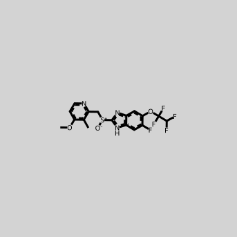 COc1ccnc(C[S+]([O-])c2nc3cc(OC(F)(F)C(F)F)c(F)cc3[nH]2)c1C